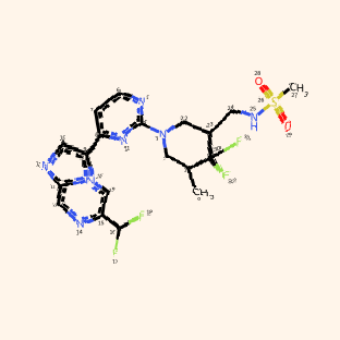 CC1CN(c2nccc(-c3cnc4cnc(C(F)F)cn34)n2)CC(CNS(C)(=O)=O)C1(F)F